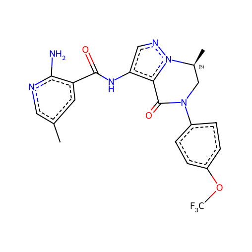 Cc1cnc(N)c(C(=O)Nc2cnn3c2C(=O)N(c2ccc(OC(F)(F)F)cc2)C[C@@H]3C)c1